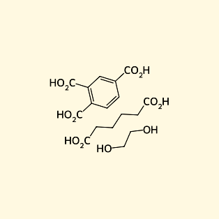 O=C(O)CCCCC(=O)O.O=C(O)c1ccc(C(=O)O)c(C(=O)O)c1.OCCO